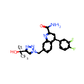 CC[C@](O)(c1cn(Cc2ccc3c(-c4ccc(F)c(F)c4)cc(C(N)=O)nc3c2)nn1)C(F)(F)F